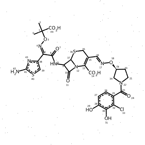 CC(C)(O/N=C(\C(=O)NC1C(=O)N2C(C(=O)O)=C(C=NO[C@H]3CCN(C(=O)c4ccc(O)c(O)c4Cl)C3)CSC12)c1csc(N)n1)C(=O)O